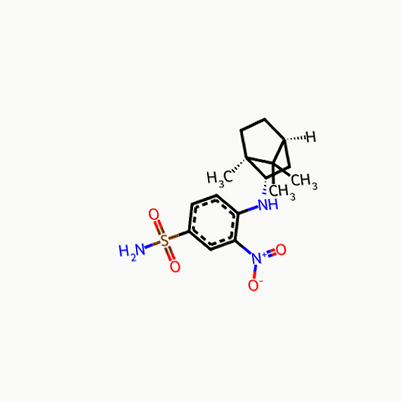 CC1(C)[C@H]2CC[C@]1(C)[C@@H](Nc1ccc(S(N)(=O)=O)cc1[N+](=O)[O-])C2